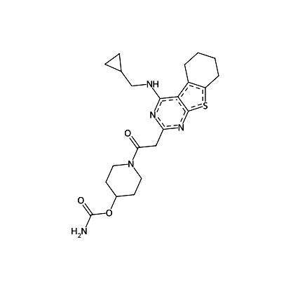 NC(=O)OC1CCN(C(=O)Cc2nc(NCC3CC3)c3c4c(sc3n2)CCCC4)CC1